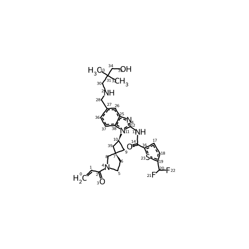 C=CC(=O)N1CC[C@]2(C1)C[C@H](n1c(NC(=O)c3ccc(C(F)F)s3)nc3cc(CNCC(C)(C)CO)ccc31)C2